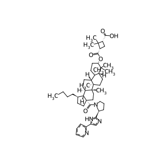 CCCC[C@@H]1CC[C@]2(C(=O)N3CCC[C@H]3c3ncc(-c4ccccn4)[nH]3)CC[C@]3(C)[C@H](CC[C@@H]4[C@@]5(C)CC[C@H](OC(=O)[C@H]6C[C@@H](C(=O)O)C6(C)C)C(C)(C)[C@@H]5CC[C@]43C)[C@@H]12